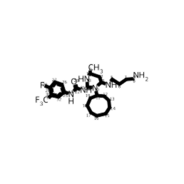 CC1CC(NCCCCN)N(C2CCCCCCCC2)C(NC(=O)Nc2ccc(F)c(C(F)(F)F)c2)N1